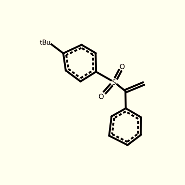 C=C(c1ccccc1)S(=O)(=O)c1ccc(C(C)(C)C)cc1